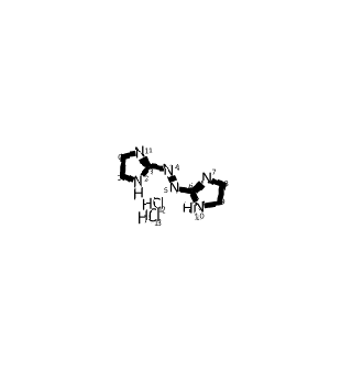 C1CNC(N=NC2=NCCN2)=N1.Cl.Cl